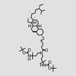 CC[C@H](CC[C@@H](C)[C@H]1CC[C@H]2[C@@H]3CC=C4C[C@@H](SSCCC(=O)N(CCC(C)(C)NC(=O)OC(C)(C)C)CCC(C)(C)NC(=O)OC(C)(C)C)CC[C@]4(C)[C@H]3CC[C@]12C)C(C)C